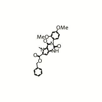 COc1ccc(-n2c(=O)[nH]c3cc(C(=O)OCc4ccccc4)n(C)c3c2=O)c(OC)c1